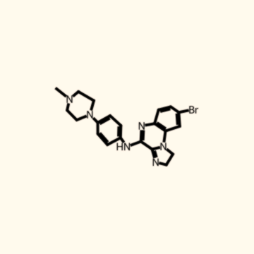 CN1CCN(c2ccc(NC3=Nc4ccc(Br)cc4N4CCN=C34)cc2)CC1